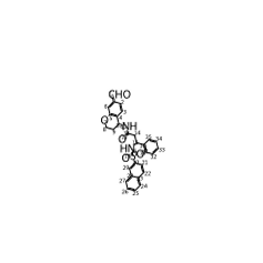 O=Cc1ccc2c(c1)OCC[C@H]2NC(=O)CC(NS(=O)(=O)c1ccc2ccccc2c1)c1ccccc1